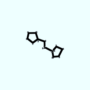 C1CCC(CSN2CCCC2)C1